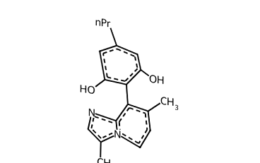 CCCc1cc(O)c(-c2c(C)ccn3c(C)cnc23)c(O)c1